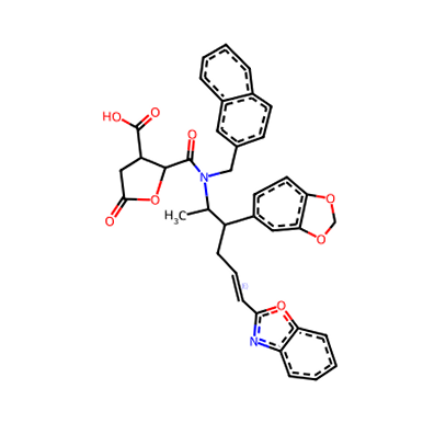 CC(C(C/C=C/c1nc2ccccc2o1)c1ccc2c(c1)OCO2)N(Cc1ccc2ccccc2c1)C(=O)C1OC(=O)CC1C(=O)O